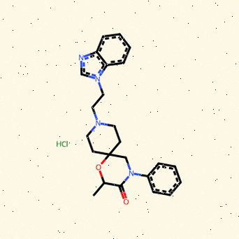 CC1OC2(CCN(CCn3cnc4ccccc43)CC2)CN(c2ccccc2)C1=O.Cl